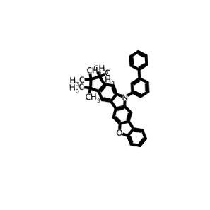 CC1(C)c2cc3c4cc5oc6ccccc6c5cc4n(-c4cccc(-c5ccccc5)c4)c3cc2C(C)(C)C1(C)C